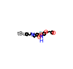 CC(Cc1ccc(C(C)(C)C)cc1)N1CCc2cc(S(=O)(=O)Nc3ccc(OCCC4CCOCC4)cc3F)ccc2C1